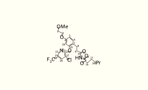 COCCOc1ccc(CCC(=O)NS(=O)(=O)CCC(C)C)c(Oc2ncc(C(F)(F)F)cc2Cl)c1